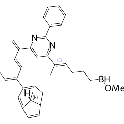 C=C(C=CC(=CC)C1=CCC2C=CC(=C1)[C@@H]2C)c1cc(/C(C)=C/CCCBOC)nc(-c2ccccc2)n1